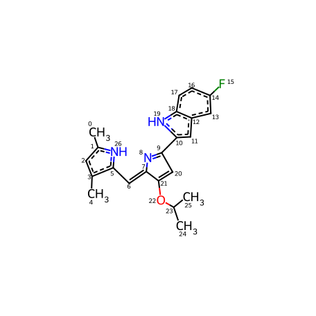 Cc1cc(C)c(C=C2N=C(c3cc4cc(F)ccc4[nH]3)C=C2OC(C)C)[nH]1